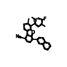 Cc1cc(-c2c(C)ccc3c2oc2c(-c4ccc5ccccc5c4)ccc(C#N)c23)[n+](C)cc1F